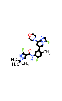 Cc1cc(F)c(NC(=O)c2cn(C(C)(C)C)nc2F)cc1-c1cc(N2CCOCC2)c2ncc(F)n2c1